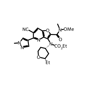 CCOC(=O)N(c1c(C(=O)N(C)OC)oc2cc(C#N)c(-c3cnn(C)c3)nc12)[C@H]1CCO[C@@H](CC)C1